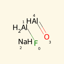 [F][AlH2].[NaH].[O]=[AlH]